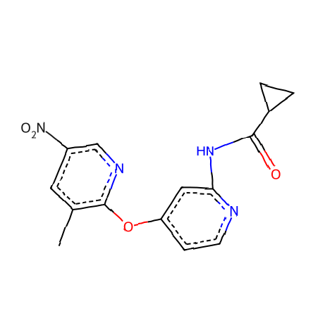 Cc1cc([N+](=O)[O-])cnc1Oc1ccnc(NC(=O)C2CC2)c1